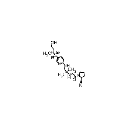 CN(CCO)S(=O)(=O)c1ccc(NCC(C)(C)NCC(=O)N2CCC[C@H]2C#N)nc1